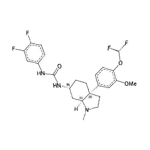 COc1cc([C@@]23CC[C@@H](NC(=O)Nc4ccc(F)c(F)c4)C[C@@H]2N(C)CC3)ccc1OC(F)F